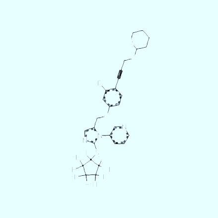 [2H]C1([2H])C([2H])([2H])C([2H])([2H])C([2H])(Sc2ncc(COc3ccc(C#CCOC4CCCCO4)c(F)c3)n2-c2cccnc2)C1([2H])[2H]